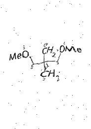 [CH2]C([CH2])(COC)COC